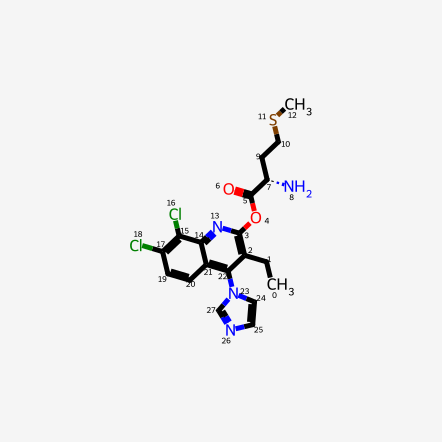 CCc1c(OC(=O)[C@@H](N)CCSC)nc2c(Cl)c(Cl)ccc2c1-n1ccnc1